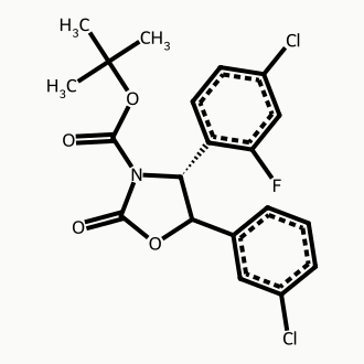 CC(C)(C)OC(=O)N1C(=O)OC(c2cccc(Cl)c2)[C@H]1c1ccc(Cl)cc1F